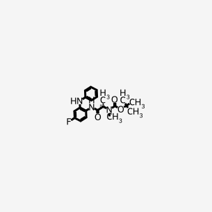 C[C@@H](C(=O)Nc1ccc(F)cc1Nc1ccccc1)N(C)C(=O)OC(C)(C)C